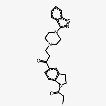 CCC(=O)N1CCc2cc(C(=O)CCN3CCN(c4nsc5ccccc45)CC3)ccc21